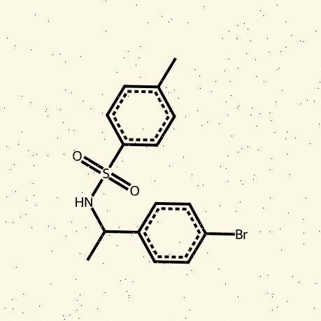 Cc1ccc(S(=O)(=O)NC(C)c2ccc(Br)cc2)cc1